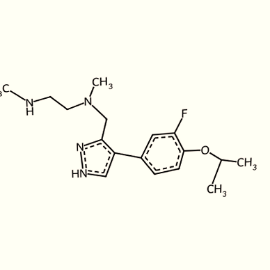 CNCCN(C)Cc1n[nH]cc1-c1ccc(OC(C)C)c(F)c1